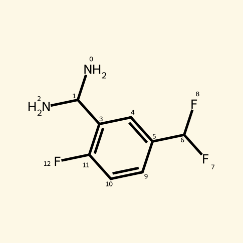 NC(N)c1cc(C(F)F)ccc1F